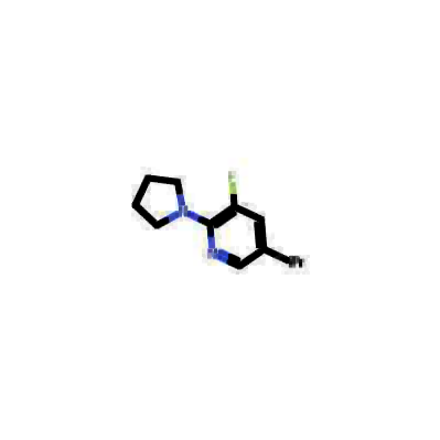 CC(C)c1cnc(N2CCCC2)c(F)c1